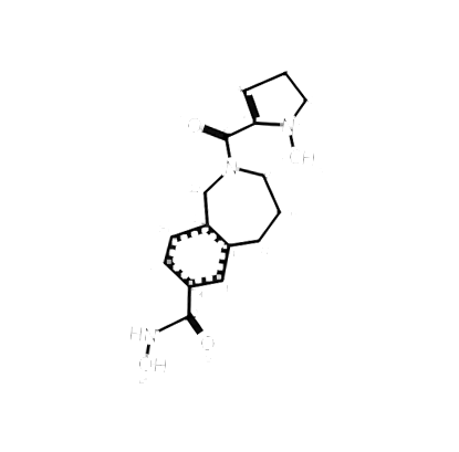 CN1CCC=C1C(=O)N1CCCc2cc(C(=O)NO)ccc2C1